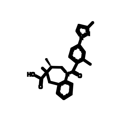 Cc1ccn(-c2ccc(C(=O)N3C[C@@H](C)C(C)(C(=O)O)Cc4ccccc43)c(C)c2)n1